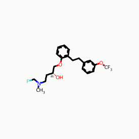 CN(CF)CC[C@@H](O)COc1ccccc1CCc1cccc(OC(F)(F)F)c1